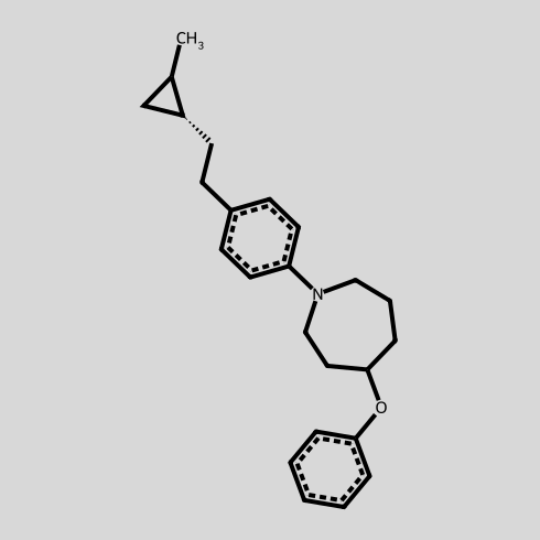 CC1C[C@H]1CCc1ccc(N2CCCC(Oc3ccccc3)CC2)cc1